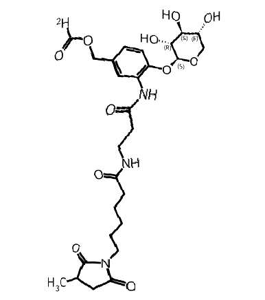 [2H]C(=O)OCc1ccc(O[C@@H]2OC[C@@H](O)[C@H](O)[C@H]2O)c(NC(=O)CCNC(=O)CCCCCN2C(=O)CC(C)C2=O)c1